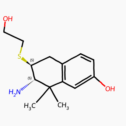 CC1(C)c2cc(O)ccc2C[C@H](SCCO)[C@H]1N